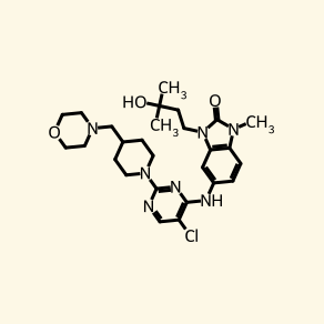 Cn1c(=O)n(CCC(C)(C)O)c2cc(Nc3nc(N4CCC(CN5CCOCC5)CC4)ncc3Cl)ccc21